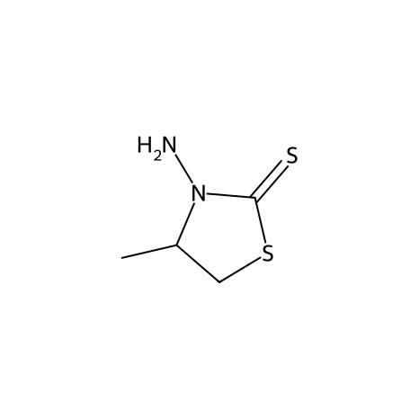 CC1CSC(=S)N1N